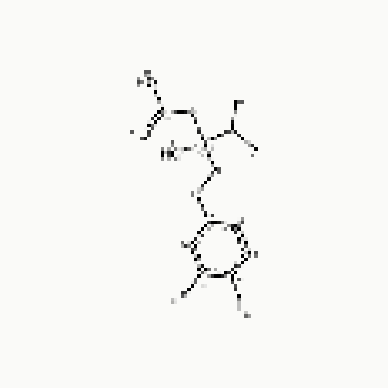 CC(C)[C@@](O)(CCc1ccc(F)c(F)c1)CC(=O)O